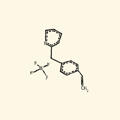 C=Cc1ccc(Cc2ccccn2)cc1.F[B-](F)(F)F